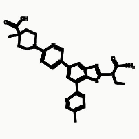 CCN(C(N)=O)c1nc2cc(-c3cnc(N4CCC(C)(C(=O)O)CC4)nc3)cc(-c3ncc(C)cn3)c2s1